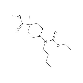 CCCCN(C(=O)OCC)N1CCC(F)(C(=O)OC)CC1